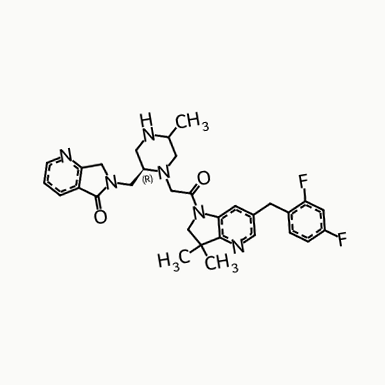 CC1CN(CC(=O)N2CC(C)(C)c3ncc(Cc4ccc(F)cc4F)cc32)[C@@H](CN2Cc3ncccc3C2=O)CN1